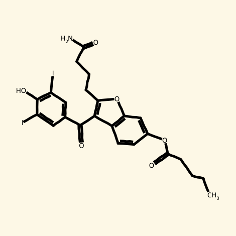 CCCCC(=O)Oc1ccc2c(C(=O)c3cc(I)c(O)c(I)c3)c(CCCC(N)=O)oc2c1